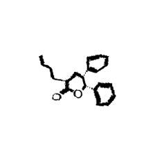 C=CCC[C@H]1C[C@H](c2ccccc2)[C@H](c2ccccc2)OC1=O